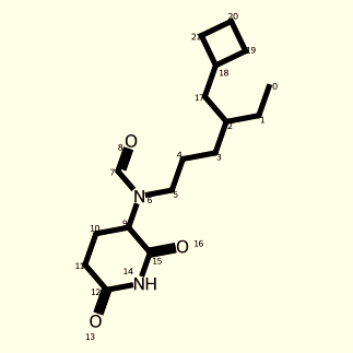 CCC(CCCN(C=O)C1CCC(=O)NC1=O)CC1CCC1